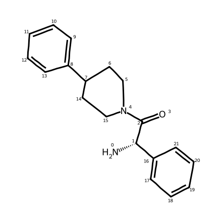 N[C@H](C(=O)N1CCC(c2ccccc2)CC1)c1ccccc1